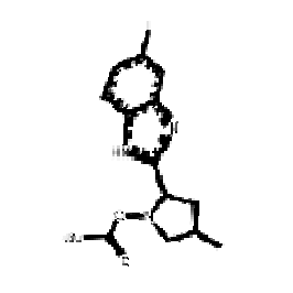 CC1CC(c2nc3cc(I)ccc3[nH]2)N(OC(=O)C(C)(C)C)C1